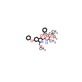 COCc1nc(C(=O)NC(C)C(=O)OC(C)(C)C)c(OCc2ccccc2)c2ccc(Oc3ccccc3)cc12